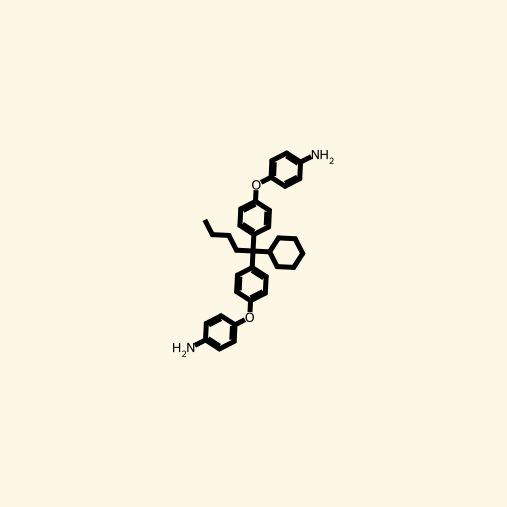 CCCCC(c1ccc(Oc2ccc(N)cc2)cc1)(c1ccc(Oc2ccc(N)cc2)cc1)C1CCCCC1